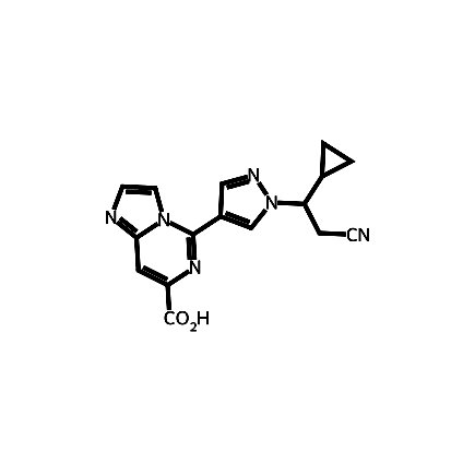 N#CCC(C1CC1)n1cc(-c2nc(C(=O)O)cc3nccn23)cn1